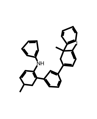 CC1C=CC(Nc2ccccc2)=C(c2cccc(C3=CC=C(I)C(C)(c4ccccc4)C3)c2)C1